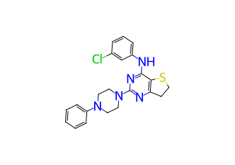 Clc1cccc(Nc2nc(N3CCN(c4ccccc4)CC3)nc3c2SCC3)c1